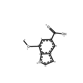 COc1cc(C(=O)O)cc2ccoc12